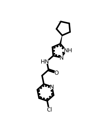 O=C(Cc1ccc(Cl)cn1)Nc1cc([C@H]2C[CH]CC2)[nH]n1